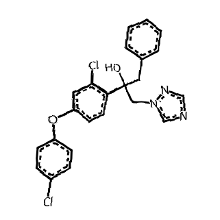 OC(Cc1ccccc1)(Cn1cncn1)c1ccc(Oc2ccc(Cl)cc2)cc1Cl